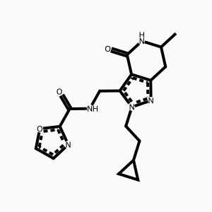 CC1Cc2nn(CCC3CC3)c(CNC(=O)c3ncco3)c2C(=O)N1